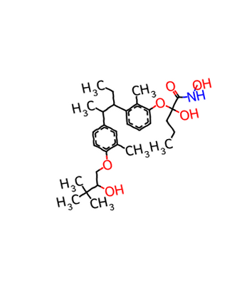 CCCC(O)(Oc1cccc(C(CC)C(C)c2ccc(OCC(O)C(C)(C)C)c(C)c2)c1C)C(=O)NO